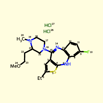 CCc1cc2c(s1)Nc1cc(F)ccc1N=C2N1CCN(C)C(CCOC)C1.Cl.Cl